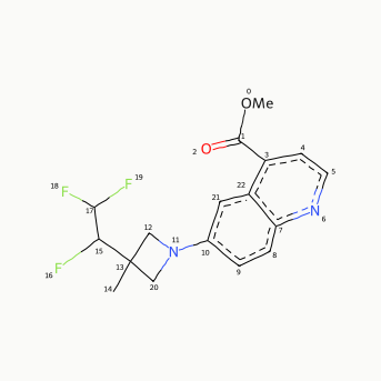 COC(=O)c1ccnc2ccc(N3CC(C)(C(F)C(F)F)C3)cc12